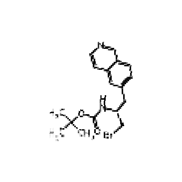 CC(C)(C)OC(=O)N[C@H](CBr)Cc1ccc2cnccc2c1